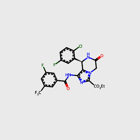 CCOC(=O)c1nc(NC(=O)c2cc(F)cc(C(F)(F)F)c2)c2n1CC(=O)N[C@@H]2c1cc(F)ccc1Cl